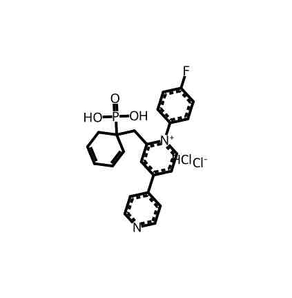 Cl.O=P(O)(O)C1(Cc2cc(-c3ccncc3)cc[n+]2-c2ccc(F)cc2)C=CC=CC1.[Cl-]